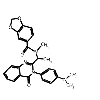 CC(c1nc2ccccc2c(=O)n1-c1ccc(N(C)C)cc1)N(C)C(=O)c1ccc2c(c1)OCO2